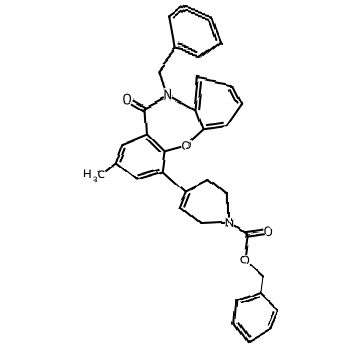 Cc1cc2c(c(C3=CCN(C(=O)OCc4ccccc4)CC3)c1)Oc1ccccc1N(CC1=CC=C=C=C1)C2=O